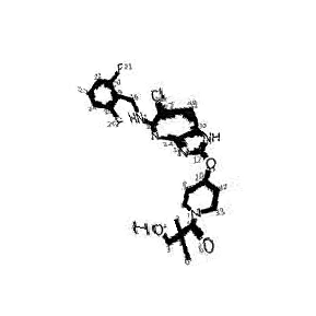 CC(C)(CO)C(=O)N1CCC(Oc2nc3nc(NCc4c(F)cccc4F)c(Cl)cc3[nH]2)CC1